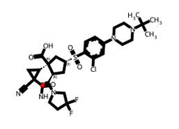 CC(C)(C)N1CCN(c2ccc(S(=O)(=O)[C@@H]3C[C@@H](C(=O)N4CCC(F)(F)C4)[C@](C(=O)O)(C4CC4(C#N)C(N)=O)C3)c(Cl)c2)CC1